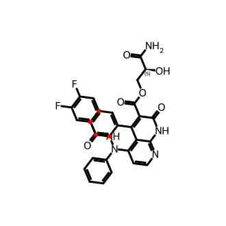 NC(=O)[C@@H](O)COC(=O)c1c(-c2ccccc2)c2c(N(NC(=O)c3ccc(F)c(F)c3)c3ccccc3)ccnc2[nH]c1=O